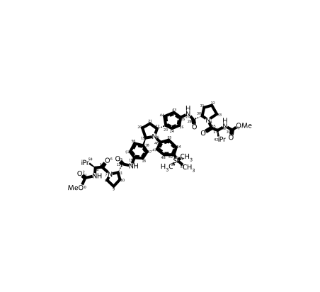 COC(=O)N[C@H](C(=O)N1CCC[C@H]1C(=O)Nc1ccc([C@H]2CC[C@H](c3ccc(NC(=O)[C@@H]4CCCN4C(=O)[C@@H](NC(=O)OC)C(C)C)cc3)N2c2ccc([Si](C)(C)C)cc2)cc1)C(C)C